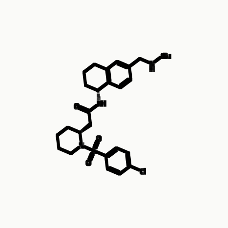 CC(C)(C)NCc1ccc2c(c1)CCC[C@H]2NC(=O)C[C@@H]1CCCCN1S(=O)(=O)c1ccc(Cl)cc1